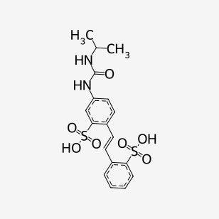 CC(C)NC(=O)Nc1ccc(/C=C/c2ccccc2S(=O)(=O)O)c(S(=O)(=O)O)c1